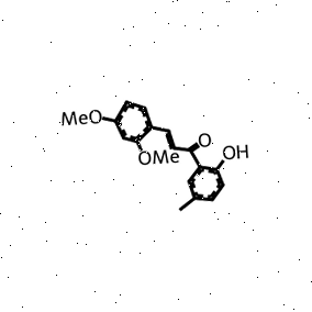 COc1ccc(C=CC(=O)c2cc(C)ccc2O)c(OC)c1